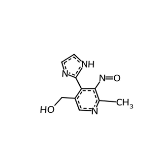 Cc1ncc(CO)c(-c2ncc[nH]2)c1N=O